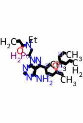 C=C/C=C(\C=C/C)OC(/C=C\C(=C/C)c1nn([C@@H](P)CN(CC)C(=O)C=C)c2ncnc(N)c12)=C/C